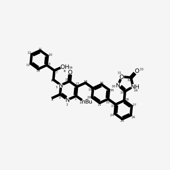 CCCCc1nc(C)n(CC(O)c2ccccc2)c(=O)c1Cc1ccc(-c2ccccc2-c2noc(=O)[nH]2)cc1